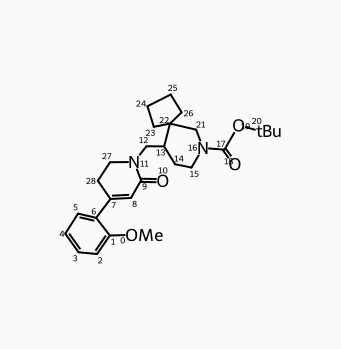 COc1ccccc1C1=CC(=O)N(CC2CCN(C(=O)OC(C)(C)C)CC23CCCC3)CC1